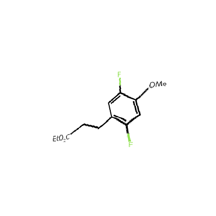 CCOC(=O)CCc1cc(F)c(OC)cc1F